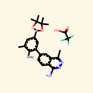 COc1c(C)cc(B2OC(C)(C)C(C)(C)O2)cc1-c1ccc2c(N)nnc(C)c2c1.O=C(O)C(F)(F)F